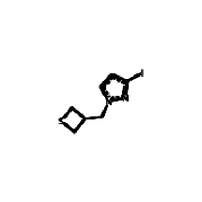 Ic1ccn(CC2CSC2)n1